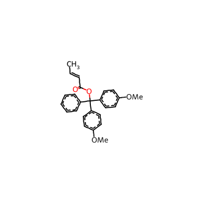 CC=CC(=O)OC(c1ccccc1)(c1ccc(OC)cc1)c1ccc(OC)cc1